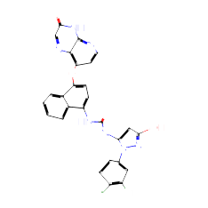 O=C(Nc1ccc(Oc2ccnc3[nH]c(=O)cnc23)c2ccccc12)Nc1cc(O)nn1-c1ccc(Cl)c(Cl)c1